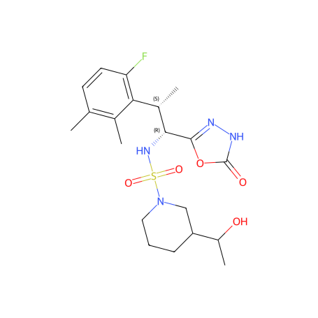 Cc1ccc(F)c([C@H](C)[C@@H](NS(=O)(=O)N2CCCC(C(C)O)C2)c2n[nH]c(=O)o2)c1C